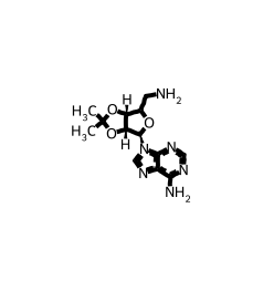 CC1(C)O[C@@H]2[C@H](O1)C(CN)O[C@H]2n1cnc2c(N)ncnc21